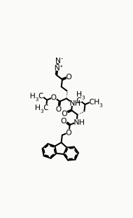 CC(C)C[C@H](NC(=O)OCC1c2ccccc2-c2ccccc21)C(=O)N[C@@H](CCC(=O)C=[N+]=[N-])C(=O)OC(C)C